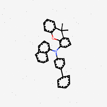 CC1(C)c2ccccc2Oc2c(N(c3ccc(-c4ccccc4)cc3)c3cccc4ccccc34)cccc21